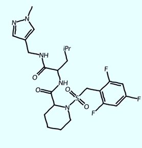 CC(C)CC(NC(=O)C1CCCCN1S(=O)(=O)Cc1c(F)cc(F)cc1F)C(=O)NCc1cnn(C)c1